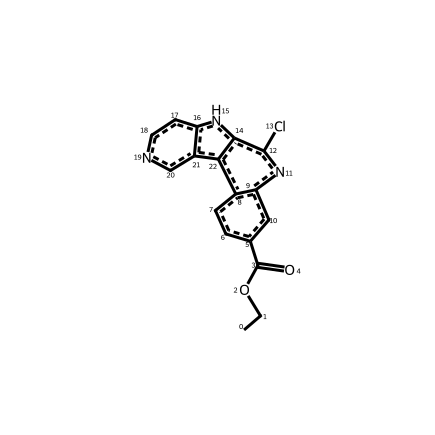 CCOC(=O)c1ccc2c(c1)nc(Cl)c1[nH]c3ccncc3c12